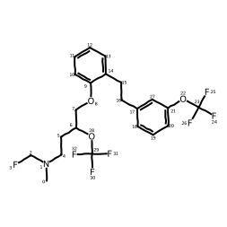 CN(CF)CCC(COc1ccccc1CCc1cccc(OC(F)(F)F)c1)OC(F)(F)F